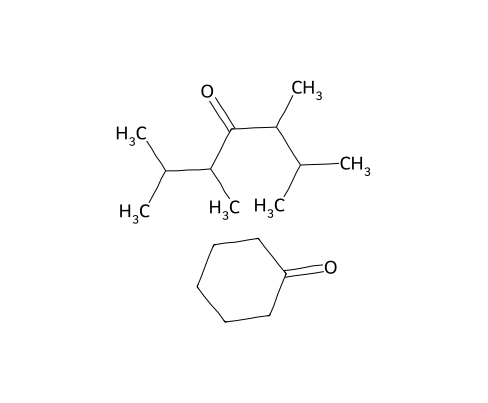 CC(C)C(C)C(=O)C(C)C(C)C.O=C1CCCCC1